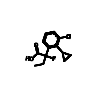 CCC(F)(C(=O)O)c1cccc(Cl)c1C1CC1